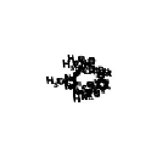 CCOc1cccc(S(=O)(=O)c2cnc(Nc3cc(C#CC(C)(C)N(C)C(=O)OC(C)(C)C)nc(C)n3)s2)c1